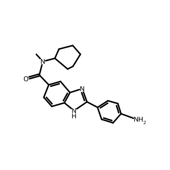 CN(C(=O)c1ccc2[nH]c(-c3ccc(N)cc3)nc2c1)C1CCCCC1